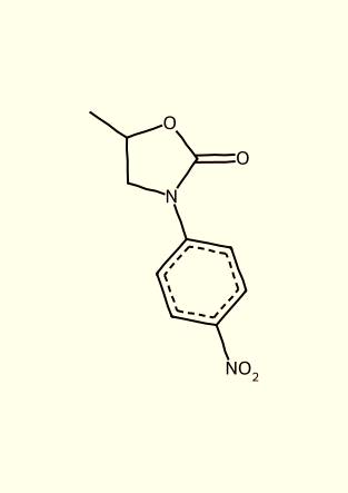 CC1CN(c2ccc([N+](=O)[O-])cc2)C(=O)O1